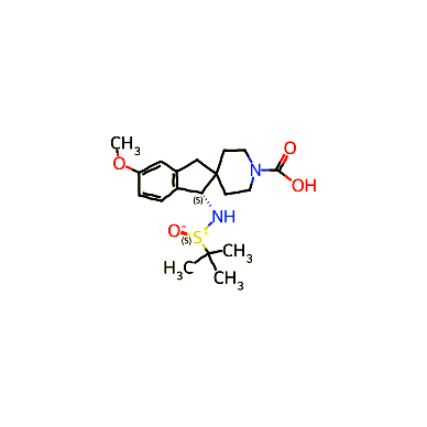 COc1ccc2c(c1)CC1(CCN(C(=O)O)CC1)[C@@H]2N[S@+]([O-])C(C)(C)C